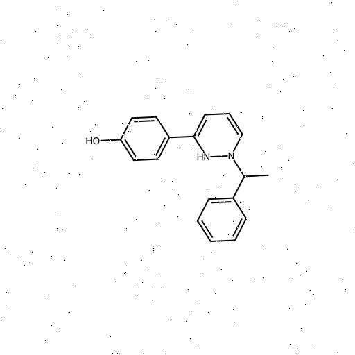 CC(c1ccccc1)N1C=CC=C(c2ccc(O)cc2)N1